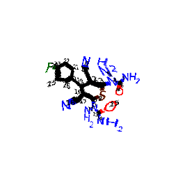 N#CC1=C(N(N)C(N)=O)SC(N(N)C(N)=O)=C(C#N)C1c1ccc(F)cc1